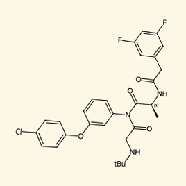 C[C@H](NC(=O)Cc1cc(F)cc(F)c1)C(=O)N(C(=O)CNC(C)(C)C)c1cccc(Oc2ccc(Cl)cc2)c1